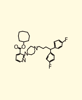 O=C(OC1CCCCCCC1)c1cccnc1N1CCN(CCCC(c2ccc(F)cc2)c2ccc(F)cc2)CC1